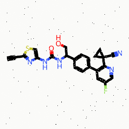 C#Cc1nc(NC(=O)NC(CO)c2ccc(-c3cc(F)cnc3C3(C#N)CC3)cc2)cs1